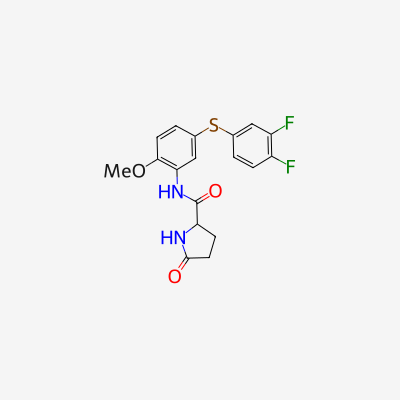 COc1ccc(Sc2ccc(F)c(F)c2)cc1NC(=O)C1CCC(=O)N1